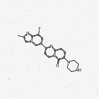 Cc1cn2cc(-c3ccn4c(=O)c(N5CCNCC5)ccc4n3)cc(F)c2n1